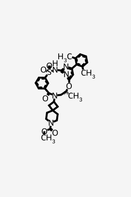 COC(=O)N1CCC2(CC1)CC(N1C[C@@H](C)Oc3cc(-c4c(C)cccc4C)nc(n3)NS(=O)(=O)c3cccc(c3)C1=O)C2